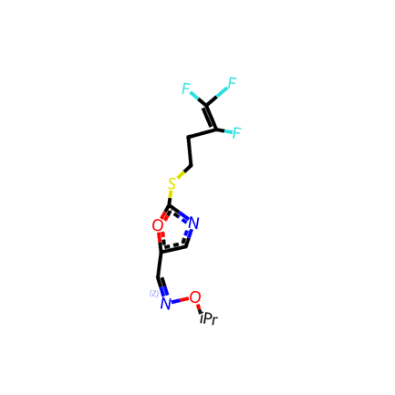 CC(C)O/N=C\c1cnc(SCCC(F)=C(F)F)o1